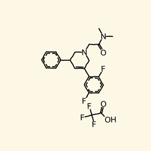 CN(C)C(=O)CN1CC(c2cc(F)ccc2F)=CC(c2ccccc2)C1.O=C(O)C(F)(F)F